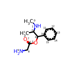 CNC(C)C(OC(=O)CN)c1ccccc1